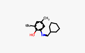 Cc1cc(/N=C\C2CCCCC2)c(O)c(C(C)(C)C)c1